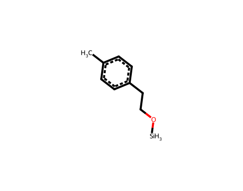 Cc1ccc(CCO[SiH3])cc1